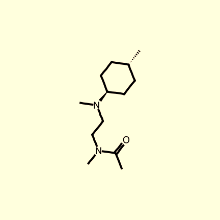 CC(=O)N(C)CCN(C)[C@H]1CC[C@H](C)CC1